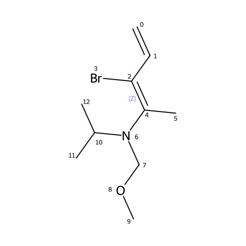 C=C/C(Br)=C(\C)N(COC)C(C)C